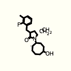 Cc1cccc(CC2CCN(C3[CH]CCCC(O)CC3)C2=O)c1F.[CH2].[CH2]